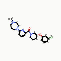 CN1CCCN(c2cccc(C(=O)N3CCC[C@H](Oc4cccc(Cl)c4)C3)n2)CC1